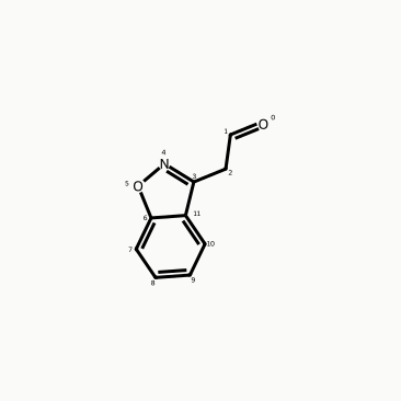 O=CCc1noc2ccccc12